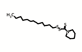 CCCCCCCCCCCCSSC(=S)N1CCCCC1